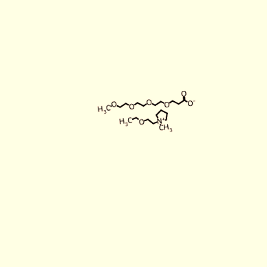 CCOCC[N+]1(C)CCCC1.COCCOCCOCCOCCC(=O)[O-]